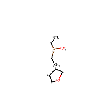 C1CCOC1.CC[S+]([O-])CC